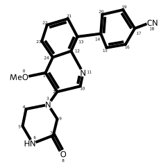 COc1c(N2CCNC(=O)C2)cnc2c(-c3ccc(C#N)cc3)cccc12